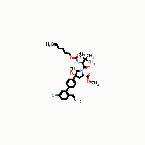 C=CCCCCOC(=O)N[C@H](C(=O)N1C[C@](OC)(c2ccc(-c3cc(Cl)ccc3C=C)cc2)C[C@H]1C(=O)OC)C(C)(C)C